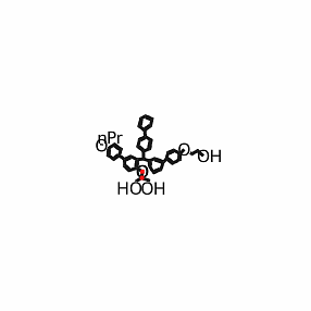 CCCOc1ccc(-c2ccc(OCCO)c(C(c3ccc(-c4ccccc4)cc3)c3cc(-c4ccc(OCCO)cc4)ccc3OCCO)c2)cc1